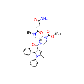 Cc1cc(C(=O)N2CCN(C(=O)OC(C)(C)C)C[C@H]2CN(C(=O)CCC(N)=O)C(C)C)c(-c2ccccc2)n1-c1ccccc1